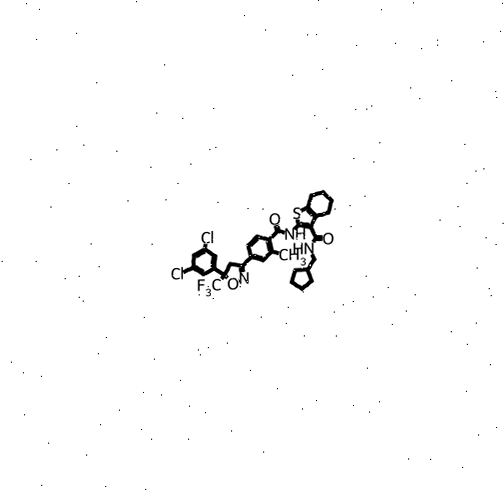 Cc1cc(C2=NOC(c3cc(Cl)cc(Cl)c3)(C(F)(F)F)C2)ccc1C(=O)Nc1sc2c(c1C(=O)NCC1CCCC1)CCCC2